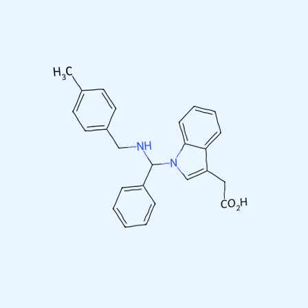 Cc1ccc(CNC(c2ccccc2)n2cc(CC(=O)O)c3ccccc32)cc1